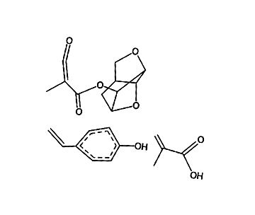 C=C(C)C(=O)O.C=Cc1ccc(O)cc1.CC(=C=O)C(=O)OC1C2CC3COC1C3O2